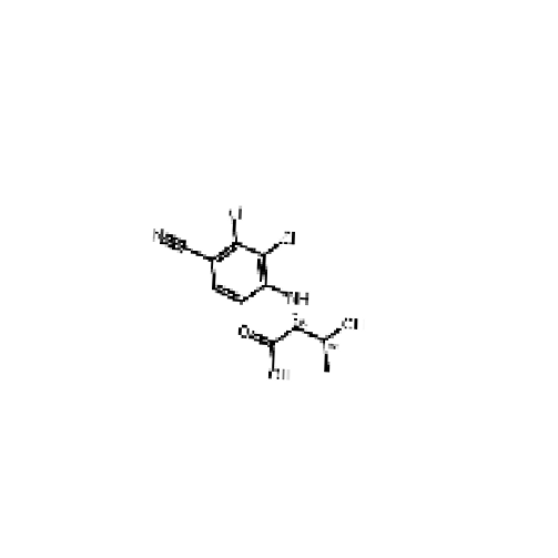 C[C@H](O)[C@@H](Nc1ccc(C#N)c(Cl)c1Cl)C(=O)O